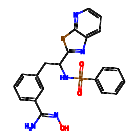 NC(=NO)c1cccc(CC(NS(=O)(=O)c2ccccc2)c2nc3cccnc3s2)c1